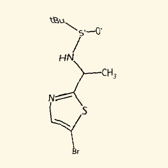 CC(N[S+]([O-])C(C)(C)C)c1ncc(Br)s1